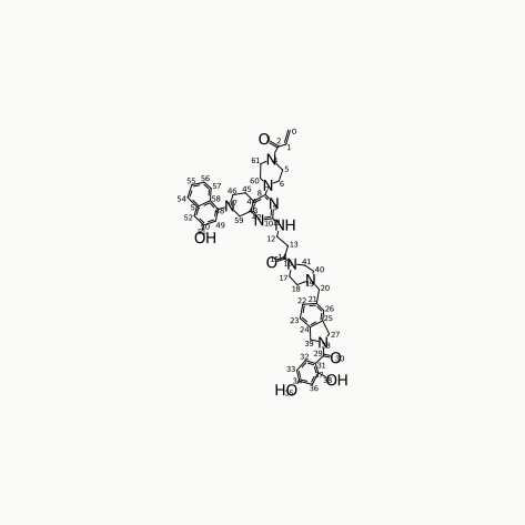 C=CC(=O)N1CCN(c2nc(NCCC(=O)N3CCN(Cc4ccc5c(c4)CN(C(=O)c4ccc(O)cc4O)C5)CC3)nc3c2CCN(c2cc(O)cc4ccccc24)C3)CC1